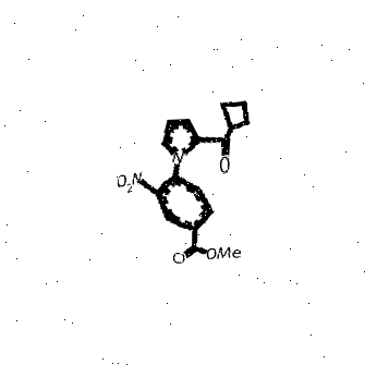 COC(=O)c1ccc(-n2cccc2C(=O)C2CCC2)c([N+](=O)[O-])c1